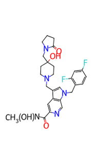 CN(O)C(=O)c1cc2c(CN3CCC(O)(CN4CCCC4=O)CC3)cn(Cc3ccc(F)cc3F)c2cn1